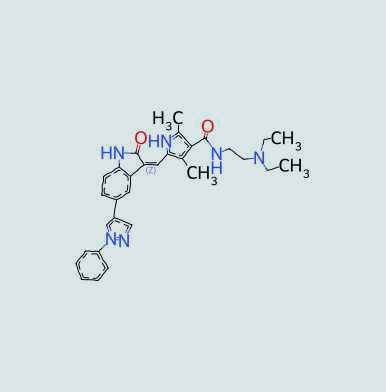 CCN(CC)CCNC(=O)c1c(C)[nH]c(/C=C2\C(=O)Nc3ccc(-c4cnn(-c5ccccc5)c4)cc32)c1C